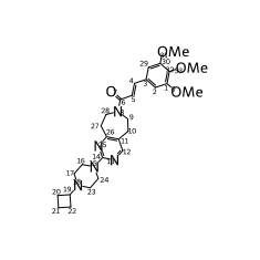 COc1cc(C=CC(=O)N2CCc3cnc(N4CCN(C5CCC5)CC4)nc3CC2)cc(OC)c1OC